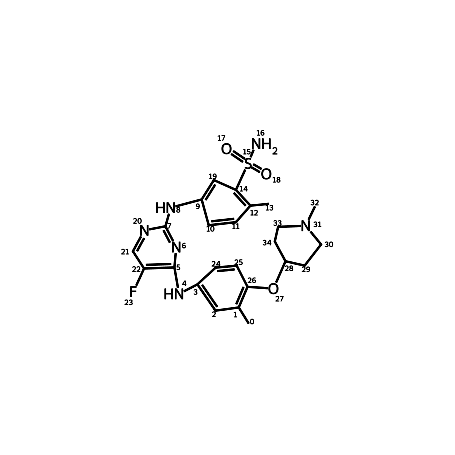 Cc1cc(Nc2nc(Nc3ccc(C)c(S(N)(=O)=O)c3)ncc2F)ccc1OC1CCN(C)CC1